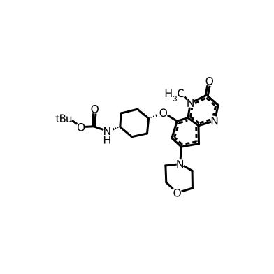 Cn1c(=O)cnc2cc(N3CCOCC3)cc(O[C@H]3CC[C@@H](NC(=O)OC(C)(C)C)CC3)c21